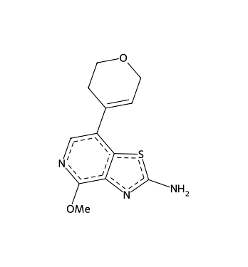 COc1ncc(C2=CCOCC2)c2sc(N)nc12